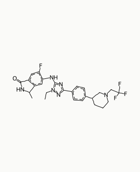 CCn1nc(-c2ccc(C3CCCN(CC(F)(F)F)C3)cc2)nc1Nc1cc2c(cc1F)C(=O)NC2C